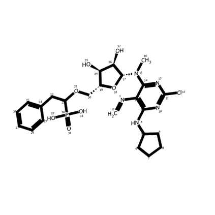 C=Nc1c(NC2CCCC2)nc(Cl)nc1N(C)[C@@H]1O[C@H](COC(Cc2ccccc2)P(=O)(O)O)[C@@H](O)[C@H]1O